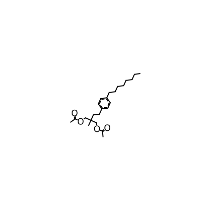 CCCCCCCCc1ccc(CCC(C)(COC(C)=O)COC(C)=O)cc1